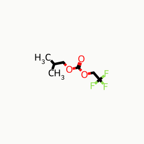 CC(C)COC(=O)OCC(F)(F)F